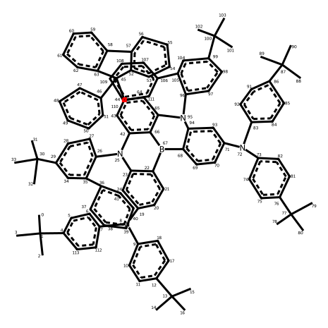 CC(C)(C)c1ccc(N(c2ccc(C(C)(C)C)cc2)c2ccc3c(c2)N(c2ccc(C(C)(C)C)cc2-c2ccccc2)c2cc(C4(c5ccccc5)c5ccccc5-c5ccccc54)cc4c2B3c2ccc(N(c3ccc(C(C)(C)C)cc3)c3ccc(C(C)(C)C)cc3)cc2N4c2ccc(C(C)(C)C)cc2-c2ccccc2)cc1